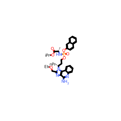 CCC[C@H](CCOP(=O)(N[C@@H](C)C(=O)OC(C)C)Oc1ccc2ccccc2c1)n1c(COCC)nc2c(N)nc3ccccc3c21